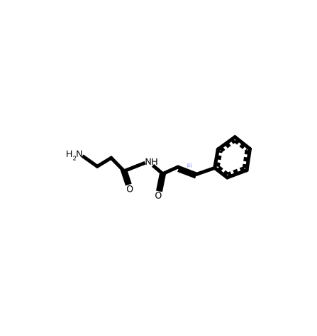 NCCC(=O)NC(=O)/C=C/c1ccccc1